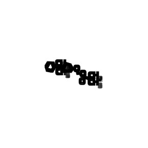 C=C(C)C(=O)OCOc1ccc(C(C)(C)c2ccccc2)cc1